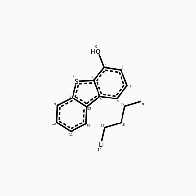 Oc1cccc2c1sc1ccccc12.[Li][CH2]CCC